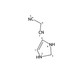 C1=CNCN1.N#CCC#N